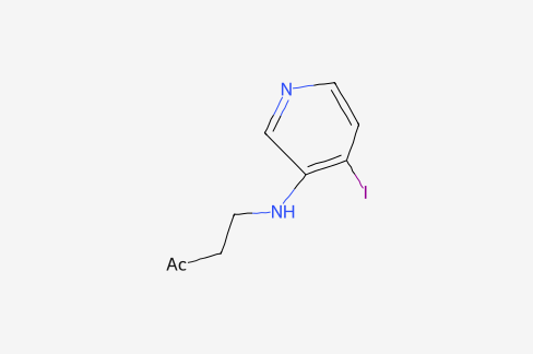 CC(=O)CCNc1cnccc1I